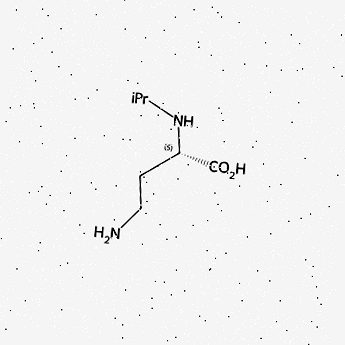 CC(C)N[C@@H](CCN)C(=O)O